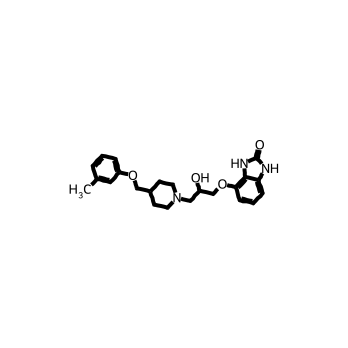 Cc1cccc(OCC2CCN(CC(O)COc3cccc4[nH]c(=O)[nH]c34)CC2)c1